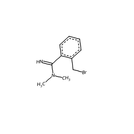 CN(C)C(=N)c1ccccc1CBr